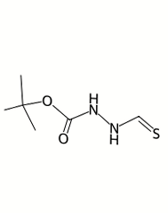 CC(C)(C)OC(=O)NNC=S